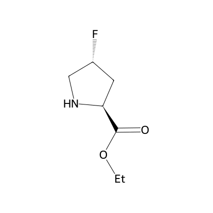 CCOC(=O)[C@@H]1C[C@@H](F)CN1